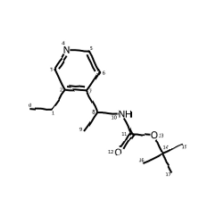 CCc1cnccc1C(C)NC(=O)OC(C)(C)C